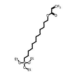 C=CC(=O)OCCCCCCCCCCCC[Si](OCC)(OCC)OCC